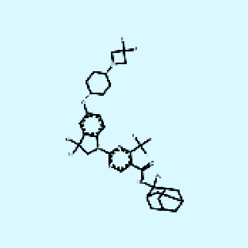 CCC1(CC)CN(c2ncc(C(=O)NC3(C(C)=O)C4CC5CC(C4)CC3C5)c(C(C)(F)F)n2)c2ccc(O[C@H]3CC[C@H](N4CC(F)(F)C4)CC3)cc21